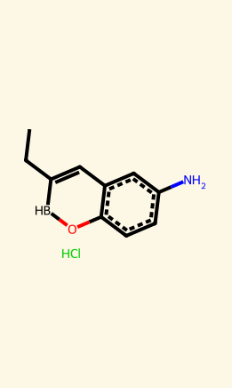 CCC1=Cc2cc(N)ccc2OB1.Cl